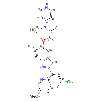 COc1cnc2c(-c3nc4cc(F)c(OC(C)C(C)N(C(=O)O)c5ccncc5)cc4s3)cc(Cl)cc2c1